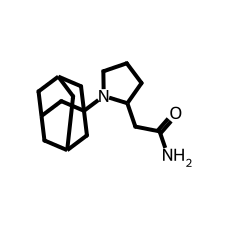 NC(=O)CC1CCCN1C12CC3CC(CC(C3)C1)C2